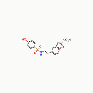 O=C(O)c1cc2cc(CCNS(=O)(=O)c3ccc(O)cc3)ccc2o1